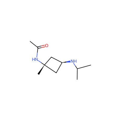 CC(=O)N[C@]1(C)C[C@@H](NC(C)C)C1